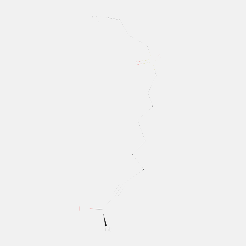 CCCC[C@@H](O)C#CCCCCCCCS(=O)(=O)CCCC(=O)O